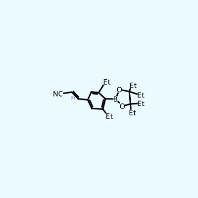 CCc1cc(/C=C/C#N)cc(CC)c1B1OC(CC)(CC)C(CC)(CC)O1